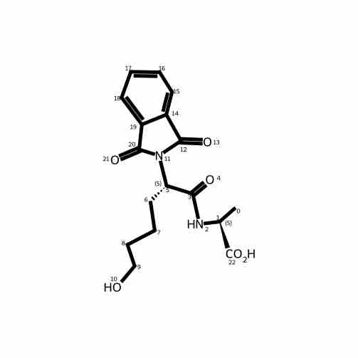 C[C@H](NC(=O)[C@H](CCCCO)N1C(=O)c2ccccc2C1=O)C(=O)O